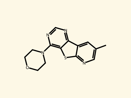 Cc1cnc2sc3c(N4CCOCC4)ncnc3c2c1